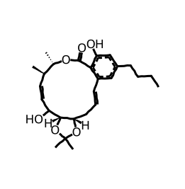 CCCCc1cc(O)c2c(c1)/C=C/C[C@@H]1OC(C)(C)O[C@@H]1C(O)/C=C\[C@@H](C)[C@H](C)OC2=O